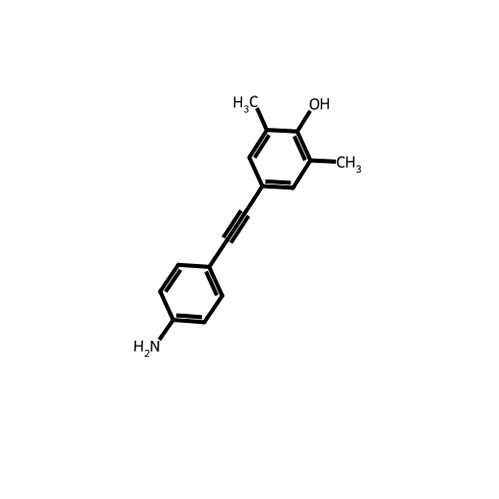 Cc1cc(C#Cc2ccc(N)cc2)cc(C)c1O